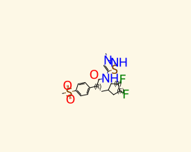 CN1C=C(NC(=O)[C@H](CC2C[C@@H](F)[C@@H](F)C2)c2ccc(S(C)(=O)=O)cc2)SN1